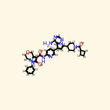 Nc1ncnn2c(C3CCN(C(=O)C4CCC4)CC3)cc(-c3ccc(NC(=O)c4c5n(n(-c6ccccc6)c4=O)CCOC5)nc3)c12